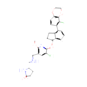 COc1nc(O[C@H]2CCc3c(-c4ccc5c(c4Cl)OCCO5)cccc32)c(Cl)cc1CNC[C@@H]1CCC(=O)N1